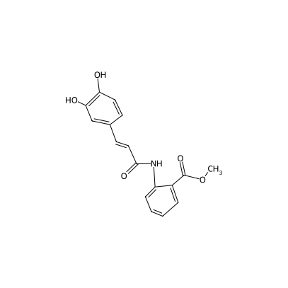 COC(=O)c1ccccc1NC(=O)C=Cc1ccc(O)c(O)c1